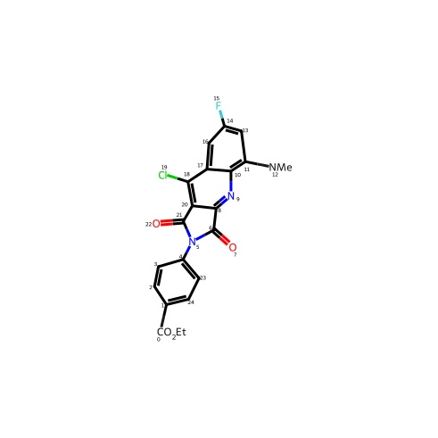 CCOC(=O)c1ccc(N2C(=O)c3nc4c(NC)cc(F)cc4c(Cl)c3C2=O)cc1